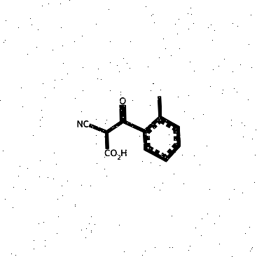 Cc1ccccc1C(=O)C(C#N)C(=O)O